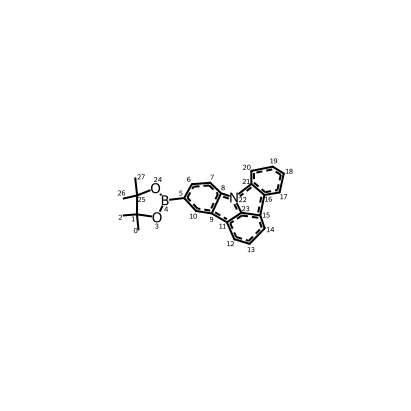 CC1(C)OB(c2ccc3c(c2)c2cccc4c5ccccc5n3c42)OC1(C)C